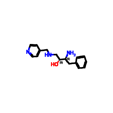 N[C@@H](Cc1ccccc1)[C@H](O)CNCc1ccncc1